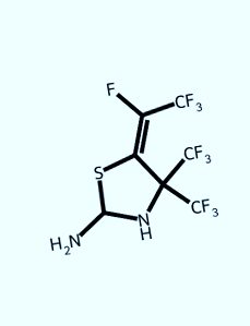 NC1NC(C(F)(F)F)(C(F)(F)F)C(=C(F)C(F)(F)F)S1